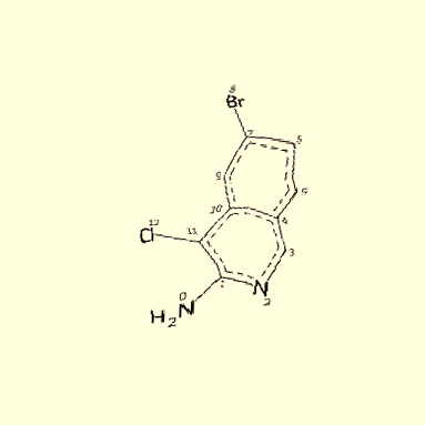 Nc1ncc2ccc(Br)cc2c1Cl